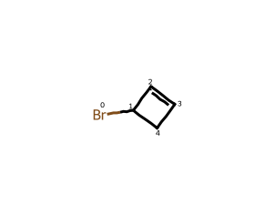 BrC1[C]=CC1